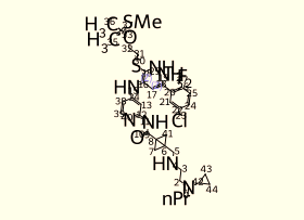 CCCN(CCNCC12CC1(C(=O)Nc1cc(NC(/C=C(\N)c3cc(Cl)ccc3F)=C(/N)SCCOC(C)(C)SC)ccn1)C2)C1CC1